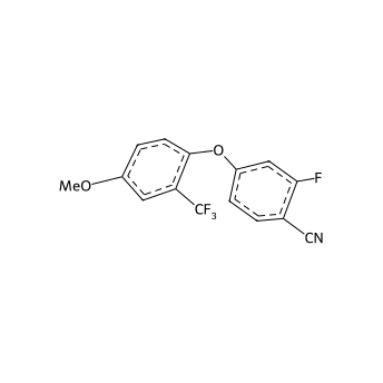 COc1ccc(Oc2ccc(C#N)c(F)c2)c(C(F)(F)F)c1